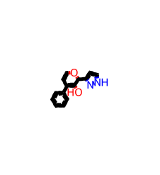 OC1=C(c2ccccc2)C=COC1c1cc[nH]n1